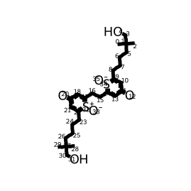 CC(C)(CO)CCCCc1cc(=O)cc(CCc2cc(=O)cc(CCCCC(C)(C)CO)[s+]2[O-])[s+]1[O-]